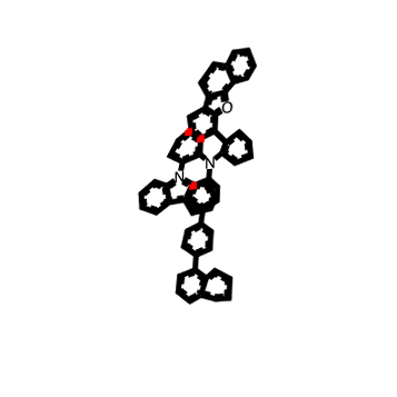 c1ccc(N(c2ccc(-c3ccc(-c4cccc5ccccc45)cc3)cc2)c2ccccc2-n2c3ccccc3c3ccccc32)c(-c2cccc3c2oc2c4ccccc4ccc32)c1